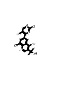 CC(C)(O)c1cnc2c(Cl)cc(-c3nc(Cl)ncc3Cl)cc2c1Cl